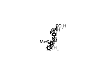 COCc1cc(-c2nc(-c3ccc(C(=O)NCCC(=O)O)c(F)c3)no2)ccc1N1CCCCC1C